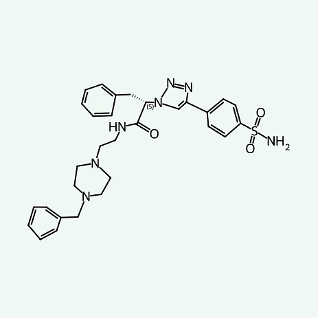 NS(=O)(=O)c1ccc(-c2cn([C@@H](Cc3ccccc3)C(=O)NCCN3CCN(Cc4ccccc4)CC3)nn2)cc1